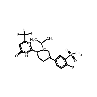 CC(C)[C@@H]1CN(c2ccc(F)c(S(C)(=O)=O)c2)CCN1c1nc(C(F)(F)F)cc(=O)[nH]1